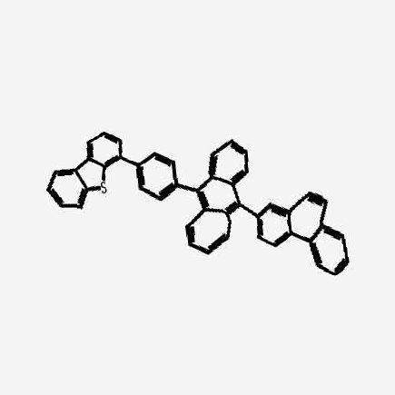 c1ccc2c(c1)ccc1cc(-c3c4ccccc4c(-c4ccc(-c5cccc6c5sc5ccccc56)cc4)c4ccccc34)ccc12